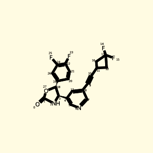 O=C1N[C@H](c2cncc(C#CC3CC(F)(F)C3)c2)[C@@H](c2ccc(F)c(F)c2)O1